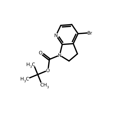 CC(C)(C)OC(=O)N1CCc2c(Br)ccnc21